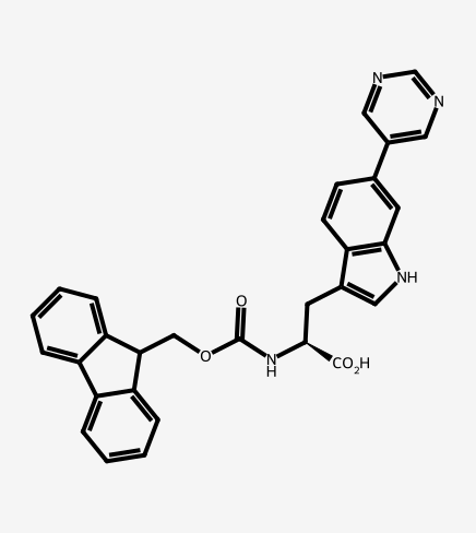 O=C(N[C@@H](Cc1c[nH]c2cc(-c3cncnc3)ccc12)C(=O)O)OCC1c2ccccc2-c2ccccc21